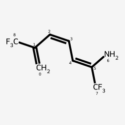 C=C(/C=C\C=C(/N)C(F)(F)F)C(F)(F)F